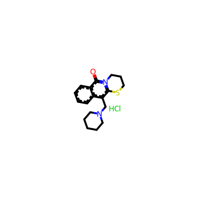 Cl.O=c1c2ccccc2c(CN2CCCCC2)c2n1CCCS2